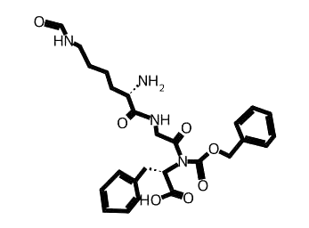 N[C@@H](CCCCNC=O)C(=O)NCC(=O)N(C(=O)OCc1ccccc1)[C@@H](Cc1ccccc1)C(=O)O